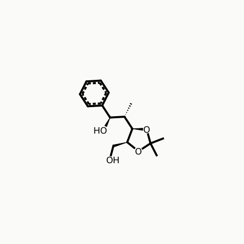 C[C@H]([C@H]1OC(C)(C)O[C@H]1CO)[C@@H](O)c1ccccc1